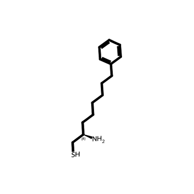 N[C@@H](CS)CCCCCCc1ccccc1